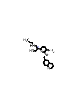 CCCN/C=C(\C=N)c1ccc(N)c(NCc2ccc3ncccc3c2)n1